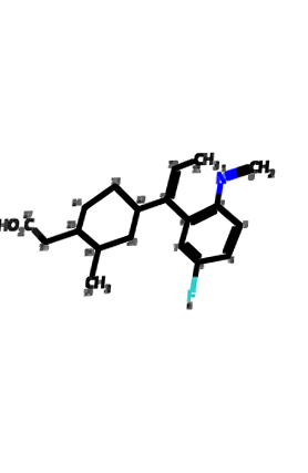 C=Nc1ccc(F)cc1/C(=C\C)C1CCC(CC(=O)O)C(C)C1